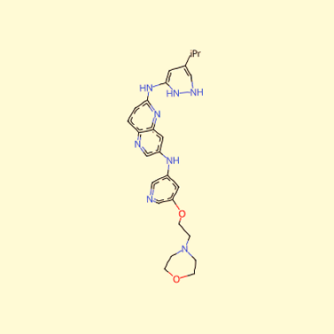 CC(C)C1=CNNC(Nc2ccc3ncc(Nc4cncc(OCCN5CCOCC5)c4)cc3n2)=C1